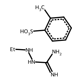 CCNNC(=N)N.Cc1ccccc1S(=O)(=O)O